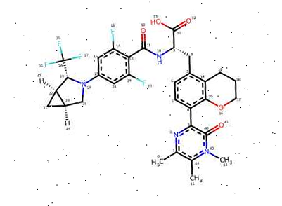 Cc1nc(-c2ccc(C[C@H](NC(=O)c3c(F)cc(N4C[C@H]5C[C@H]5[C@@H]4C(F)(F)F)cc3F)C(=O)O)c3c2OCCC3)c(=O)n(C)c1C